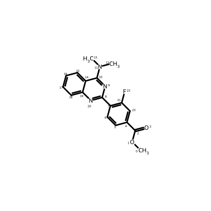 COC(=O)c1ccc(-c2nc(N(C)C)c3ccccc3n2)c(F)c1